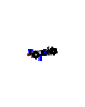 CC[N+]1([C@H](C)c2ccccc2)C=C(N[C@H]2CC[C@@H](C(N)=O)CC2)C=N1